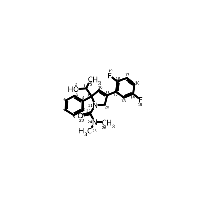 CC(O)C1(c2ccccc2)C=C(c2cc(F)ccc2F)CN1C(=O)N(C)C